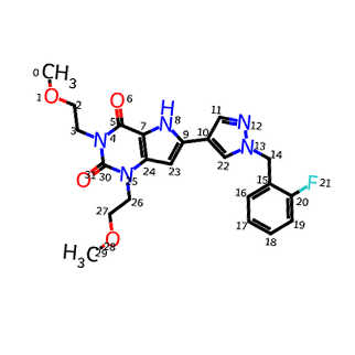 COCCn1c(=O)c2[nH]c(-c3cnn(Cc4ccccc4F)c3)cc2n(CCOC)c1=O